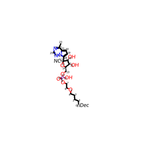 CCCCCCCCCCCCCCOCCOP(=O)(O)OC[C@H]1O[C@@](C#N)(c2ccc3c(C)ncnn23)[C@H](O)[C@@H]1O